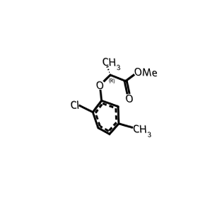 COC(=O)[C@@H](C)Oc1cc(C)ccc1Cl